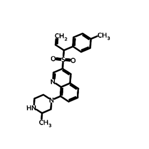 C=CC(c1ccc(C)cc1)S(=O)(=O)c1cnc2c(N3CCNC(C)C3)cccc2c1